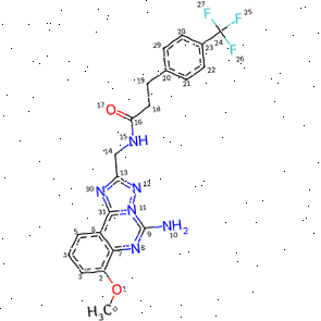 COc1cccc2c1nc(N)n1nc(CNC(=O)CCc3ccc(C(F)(F)F)cc3)nc21